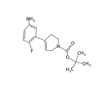 CC(C)(C)OC(=O)N1CC=C(c2cc(N)ccc2F)CC1